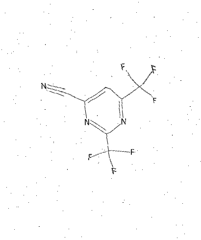 N#Cc1cc(C(F)(F)F)nc(C(F)(F)F)n1